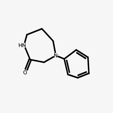 O=C1CN(c2ccccc2)CCCN1